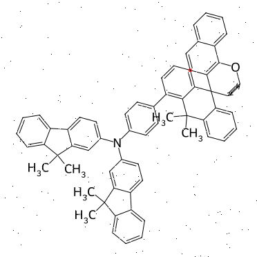 CC1(C)c2ccccc2-c2ccc(N(c3ccc(-c4cccc5c4C(C)(C)c4ccccc4C54c5ccccc5Oc5c4ccc4ccccc54)cc3)c3ccc4c(c3)C(C)(C)c3ccccc3-4)cc21